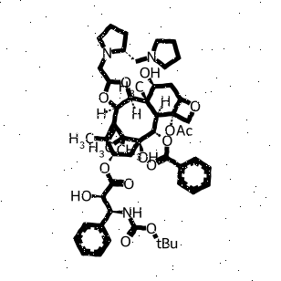 CC(=O)O[C@@]12COC1C[C@H](O)[C@@]1(C)[C@@H]3OC(CN4CCC[C@@H]4CN4CCCC4)O[C@@H]3C3=C(C)[C@@H](OC(=O)[C@H](O)[C@@H](NC(=O)OC(C)(C)C)c4ccccc4)C[C@@](O)([C@@H](OC(=O)c4ccccc4)[C@@H]12)C3(C)C